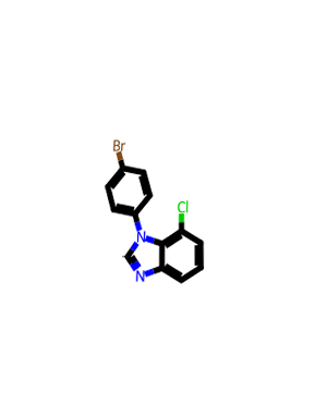 Clc1cccc2n[c]n(-c3ccc(Br)cc3)c12